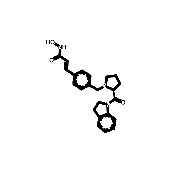 O=C(/C=C/c1ccc(CN2CCC[C@H]2C(=O)N2CCc3ccccc32)cc1)NO